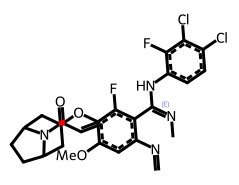 C=CC(=O)N1C2CCC1CC(Oc1c(OC)cc(N=C)c(/C(=N\C)Nc3ccc(Cl)c(Cl)c3F)c1F)C2